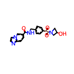 O=C(NCc1ccc(S(=O)(=O)N2CC(O)C2)cc1)c1ccc2nccn2c1